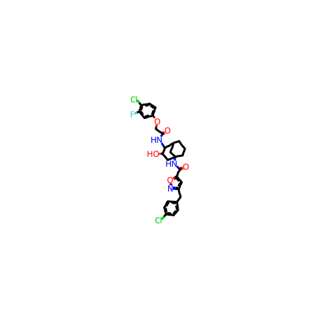 O=C(COc1ccc(Cl)c(F)c1)NC1C(O)CC2(NC(=O)c3cc(Cc4ccc(Cl)cc4)no3)CCCC1C2